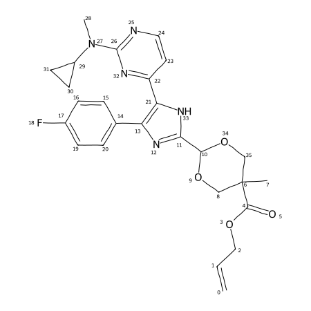 C=CCOC(=O)C1(C)COC(c2nc(-c3ccc(F)cc3)c(-c3ccnc(N(C)C4CC4)n3)[nH]2)OC1